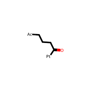 CC(=O)CCC[C](=O)[Pt]